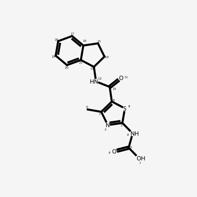 Cc1nc(NC(=O)O)sc1C(=O)NC1CCc2ccccc21